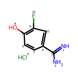 Cl.N=C(N)c1ccc(O)c(F)c1